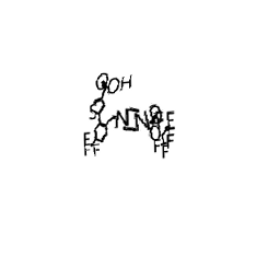 O=C(O)c1csc(-c2cc(C(F)(F)F)ccc2CN2CCN(C(=O)OC(C(F)(F)F)C(F)(F)F)CC2)c1